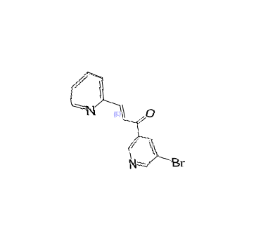 O=C(/C=C/c1ccccn1)c1cncc(Br)c1